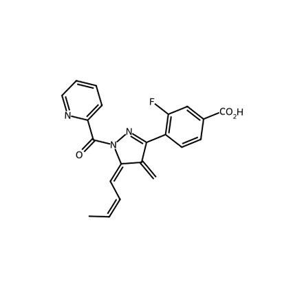 C=c1c(-c2ccc(C(=O)O)cc2F)nn(C(=O)c2ccccn2)/c1=C/C=C\C